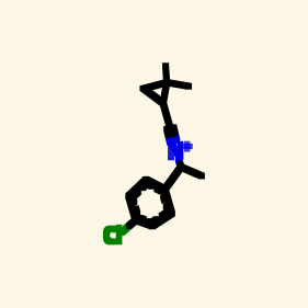 CC([N+]#CC1CC1(C)C)c1ccc(Cl)cc1